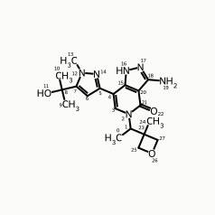 CC(n1cc(-c2cc(C(C)(C)O)n(C)n2)c2[nH]nc(N)c2c1=O)C1(C)COC1